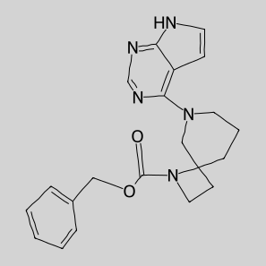 O=C(OCc1ccccc1)N1CCC12CCCN(c1ncnc3[nH]ccc13)C2